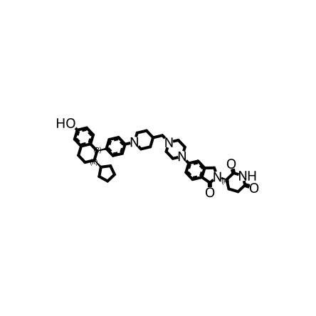 O=C1CC[C@@H](N2Cc3cc(N4CCN(CC5CCN(c6ccc([C@@H]7c8ccc(O)cc8CC[C@@H]7C7CCCC7)cc6)CC5)CC4)ccc3C2=O)C(=O)N1